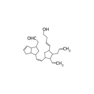 C=CCC1C(/C=C/CCO)CC(/C=C\C2CC(CC=O)C3C=CCC23)C1C=C